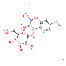 COc1ccc2c(c1)ON(O)C(=O)C2OC1O[C@H](CO)[C@@H](O)[C@H](O)[C@H]1O